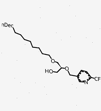 CCCCCCCCCCCCCCCCCCOC[C@H](CO)OCc1ccc(C(F)(F)F)nc1